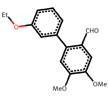 CCOc1cccc(-c2cc(OC)c(OC)cc2C=O)c1